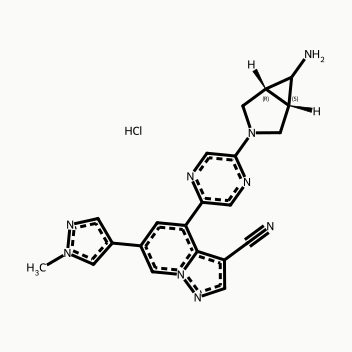 Cl.Cn1cc(-c2cc(-c3cnc(N4C[C@@H]5C(N)[C@@H]5C4)cn3)c3c(C#N)cnn3c2)cn1